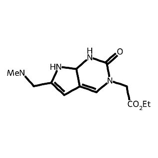 CCOC(=O)CN1C=C2C=C(CNC)NC2NC1=O